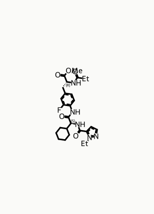 CCC(=O)N[C@H](Cc1ccc(NC(=O)[C@@H](NC(=O)c2ccnn2CC)C2CCCCC2)c(F)c1)C(=O)OC